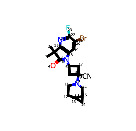 CC1(C)C(=O)N(C2CC(C#N)(N3CCC4C[C@@H]4C3)C2)c2cc(Br)c(F)nc21